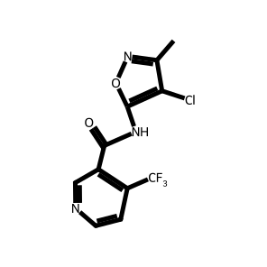 Cc1noc(NC(=O)c2cnccc2C(F)(F)F)c1Cl